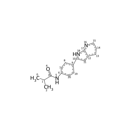 CC(C)C(=O)Nc1ccc(-c2cc3cccnc3[nH]2)cc1